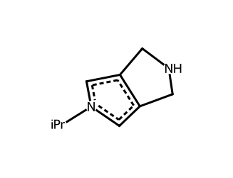 CC(C)n1cc2c(c1)CNC2